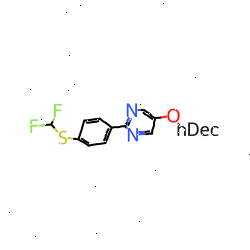 CCCCCCCCCCOc1cnc(-c2ccc(SC(F)F)cc2)nc1